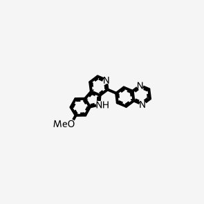 COc1ccc2c(c1)[nH]c1c(-c3ccc4nccnc4c3)nccc12